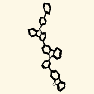 c1ccc(-c2ccc(-n3c4ccccc4c4cc(-c5ccc6c(c5)c5ccccc5n6-c5cccc(-c6ccc7c(c6)oc6ccccc67)c5)ccc43)cc2)cc1